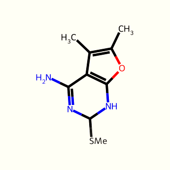 CSC1N=C(N)c2c(oc(C)c2C)N1